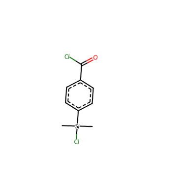 C[Si](C)(Cl)c1ccc(C(=O)Cl)cc1